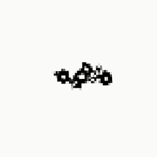 C[C@]12Cc3cnn(-c4ccc(F)cc4)c3C=C1CC[C@H]2S(=O)(=O)c1ccccc1